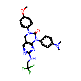 COc1ccc(N2Cc3cnc(NCC(F)(F)F)nc3N(c3ccc(N(C)C)cc3)C2=O)cc1